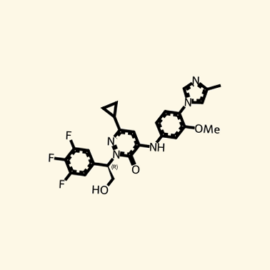 COc1cc(Nc2cc(C3CC3)nn([C@@H](CO)c3cc(F)c(F)c(F)c3)c2=O)ccc1-n1cnc(C)c1